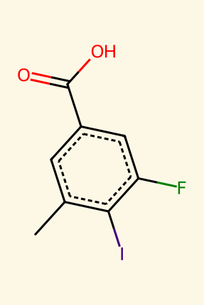 Cc1cc(C(=O)O)cc(F)c1I